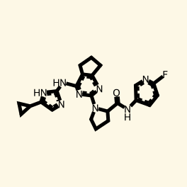 O=C(Nc1ccc(F)nc1)C1CCCN1c1nc2c(c(Nc3ncc(C4CC4)[nH]3)n1)CCC2